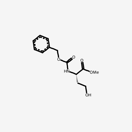 COC(=O)[C@H](CCO)NC(=O)OCc1ccccc1